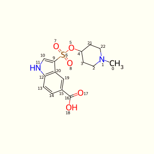 CN1CCC(OS(=O)(=O)c2c[nH]c3ccc(C(=O)O)cc23)CC1